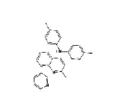 Cc1ccc(Nc2ccc(C)cc2)cc1.Cc1ccc2ccccc2n1.c1ccncc1